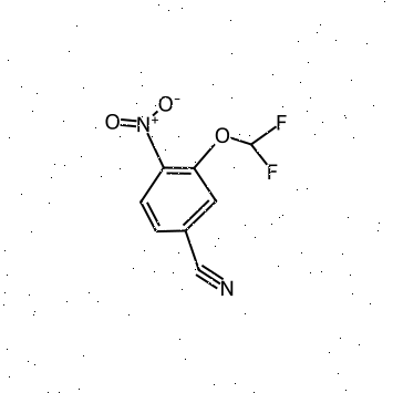 N#Cc1ccc([N+](=O)[O-])c(OC(F)F)c1